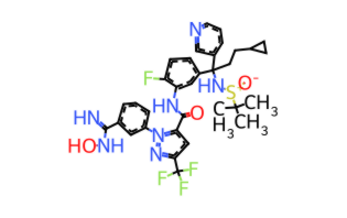 CC(C)(C)[S+]([O-])NC(CCC1CC1)(c1cccnc1)c1ccc(F)c(NC(=O)c2cc(C(F)(F)F)nn2-c2cccc(C(=N)NO)c2)c1